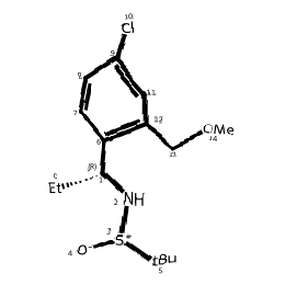 CC[C@@H](N[S+]([O-])C(C)(C)C)c1ccc(Cl)cc1COC